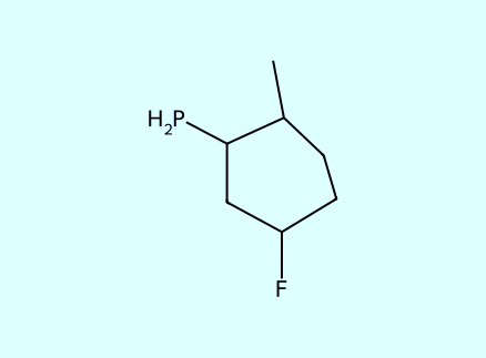 CC1CCC(F)CC1P